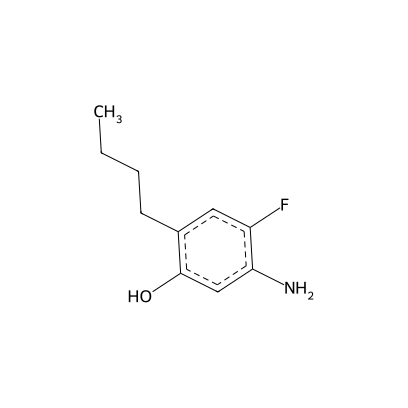 CCCCc1cc(F)c(N)cc1O